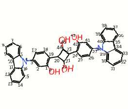 Oc1cc(-n2c3ccccc3c3ccccc32)ccc1C1C(O)C(c2ccc(-n3c4ccccc4c4ccccc43)cc2O)C1O